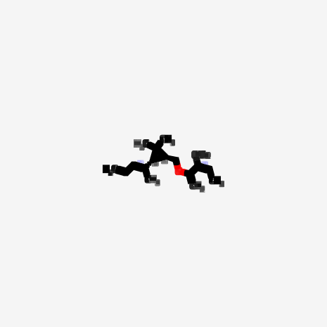 C=C/C=C(\C)[C@H]1[C@H](COC(=C)/C(=C\C)OC)C1(C)C